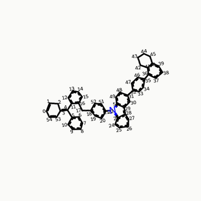 C1=CC/C(=C(/c2ccccc2)c2ccccc2Cc2ccc(-n3c4ccccc4c4cc(-c5ccc(-c6cccc7c6CCCC7)cc5)ccc43)cc2)C=C1